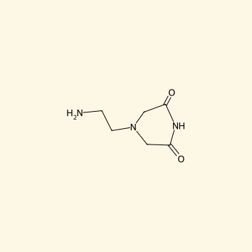 NCCN1CC(=O)NC(=O)C1